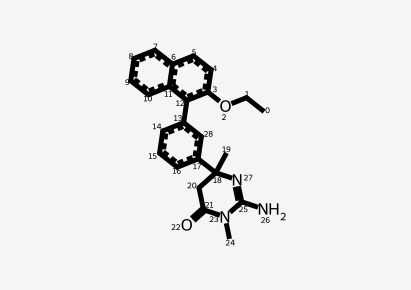 CCOc1ccc2ccccc2c1-c1cccc(C2(C)CC(=O)N(C)C(N)=N2)c1